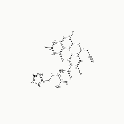 C#CCN(Cc1cc2c(=O)nc(C)[nH]c2cc1C)c1ccc(C(=O)N[C@@H](CCc2nnn[nH]2)C(=O)O)c(F)c1